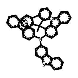 CC1(c2c(N(c3ccc4c(c3)sc3ccccc34)c3ccc4sc5ccccc5c4c3)ccc3c2oc2ccccc23)c2ccccc2-c2ccccc21